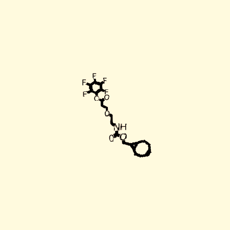 O=C(CCOCCNC(=O)OCC1C2CCC#CCCC21)Oc1c(F)c(F)c(F)c(F)c1F